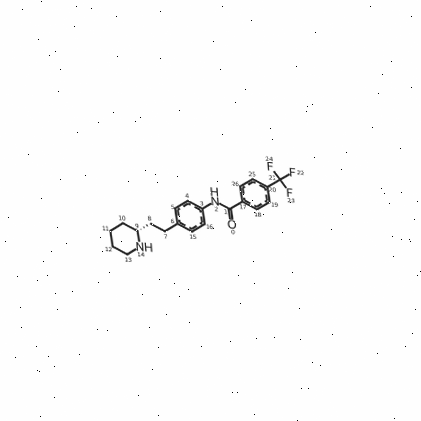 O=C(Nc1ccc(CC[C@H]2CCCCN2)cc1)c1ccc(C(F)(F)F)cc1